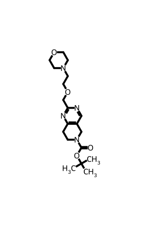 CC(C)(C)OC(=O)N1CCc2nc(COCCN3CCOCC3)ncc2C1